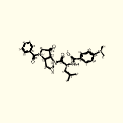 CC(C)C[C@H](NC(=O)c1ccc(N(C)C)cc1)C(=O)N1OCC2C1C(=O)CN2C(=O)c1ccccc1